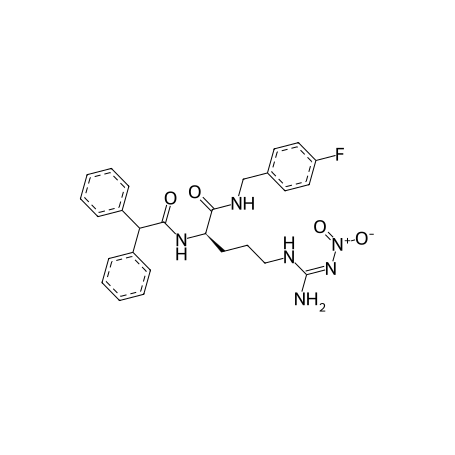 N/C(=N/[N+](=O)[O-])NCCC[C@@H](NC(=O)C(c1ccccc1)c1ccccc1)C(=O)NCc1ccc(F)cc1